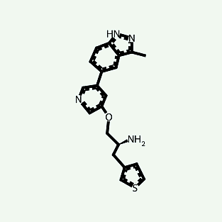 Cc1n[nH]c2ccc(-c3cncc(OC[C@@H](N)Cc4ccsc4)c3)cc12